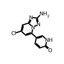 Nc1nc2cc(Cl)cc(-c3ccc(=O)[nH]c3)n2n1